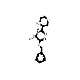 CC(C)[C@H](NC(=O)C1COCCN1)C(=O)OCc1ccccc1